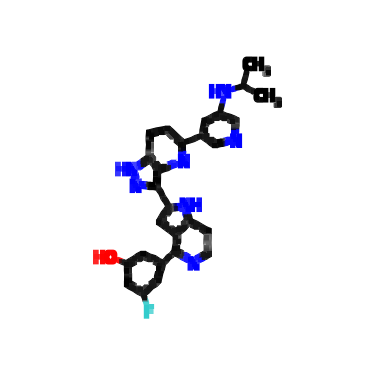 CC(C)Nc1cncc(-c2ccc3[nH]nc(-c4cc5c(-c6cc(O)cc(F)c6)nccc5[nH]4)c3n2)c1